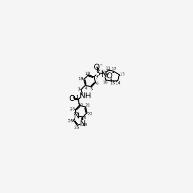 O=C(NCc1ccc([S+]([O-])N2CC3CCC(C2)O3)cc1)c1ccc2nccn2c1